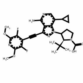 COc1nc(OC)c(F)c(C#Cc2nn(C3CCN(C(=O)O)[C@H]3C(C)(C)C)c3c(C4CC4)cnc(N)c23)c1F